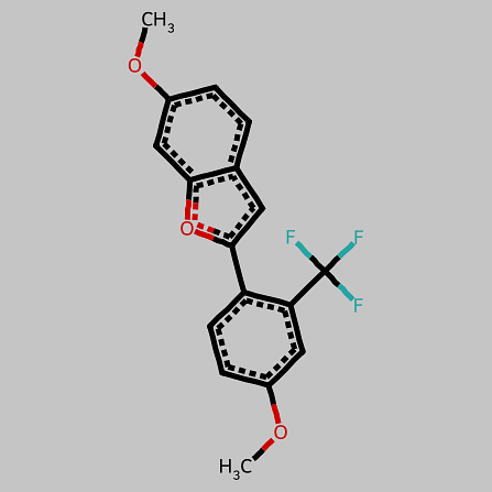 COc1ccc(-c2cc3ccc(OC)cc3o2)c(C(F)(F)F)c1